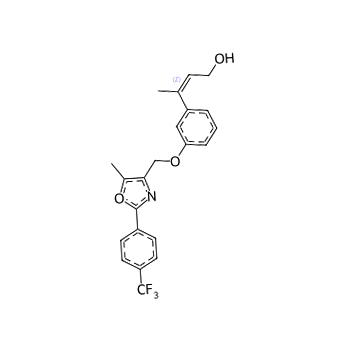 C/C(=C/CO)c1cccc(OCc2nc(-c3ccc(C(F)(F)F)cc3)oc2C)c1